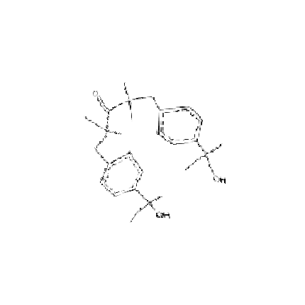 CC(C)(Cc1ccc(C(C)(C)O)cc1)C(=O)C(C)(C)Cc1ccc(C(C)(C)O)cc1